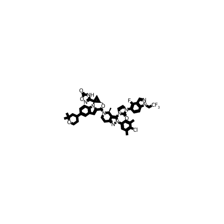 Cc1cc(-n2nc3c(c2-n2ccn(-c4ccc5c(cnn5CC(F)(F)F)c4F)c2=O)[C@H](C)N(C(=O)c2cc4cc(C5CCOC(C)(C)C5)ccc4n2[C@@]2(c4noc(=O)[nH]4)C[C@@H]2C)CC3)cc(C)c1Cl